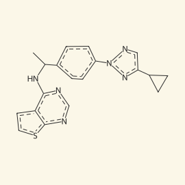 CC(Nc1ncnc2sccc12)c1ccc(-n2ncc(C3CC3)n2)cc1